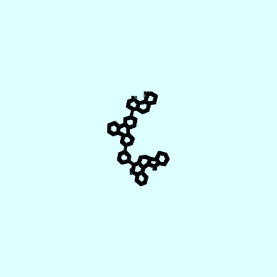 c1cc(-c2ccc3c4ccc(-c5ccnc6c5ccc5cccnc56)cc4c4ccccc4c3c2)cc(-c2nc3ccccc3c3c2ccc2c4ccccc4sc23)c1